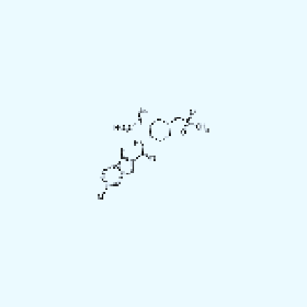 CC(C)(C)N(C(=O)O)[C@@H]1C[C@@H](CS(C)(=O)=O)CC[C@@H]1NC(=O)c1cc2cc(Cl)ccc2[nH]1